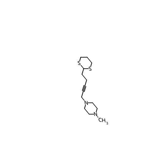 CN1CCN(CC#CCCC2SCCCS2)CC1